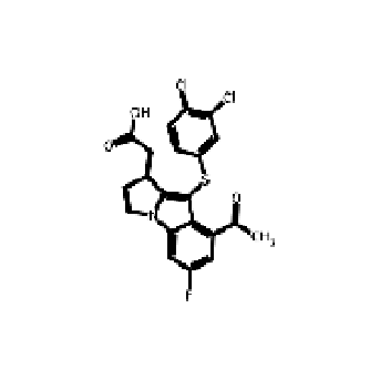 CC(=O)c1cc(F)cc2c1c(Sc1ccc(Cl)c(Cl)c1)c1n2CCC1CC(=O)O